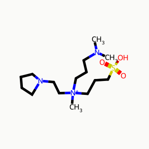 CN(C)CCC[N+](C)(CCCS(=O)(=O)O)CCN1CCCC1